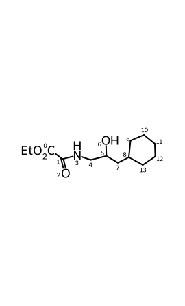 CCOC(=O)C(=O)NCC(O)CC1CCCCC1